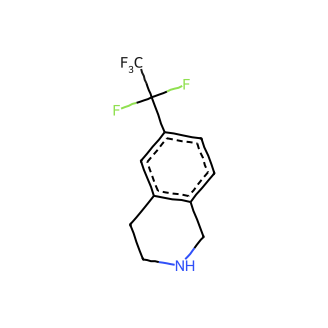 FC(F)(F)C(F)(F)c1ccc2c(c1)CCNC2